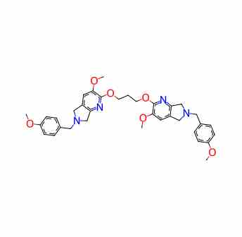 COc1ccc(CN2Cc3cc(OC)c(OCCCOc4nc5c(cc4OC)CN(Cc4ccc(OC)cc4)C5)nc3C2)cc1